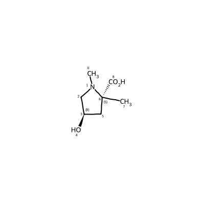 CN1C[C@H](O)C[C@@]1(C)C(=O)O